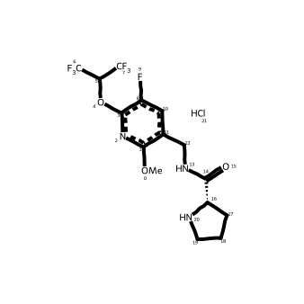 COc1nc(OC(C(F)(F)F)C(F)(F)F)c(F)cc1CNC(=O)[C@@H]1CCCN1.Cl